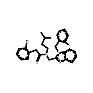 CC(C)CCN(Cc1nc2ccccc2n1Cc1ccccc1Cl)C(=O)Cc1ccccc1Cl